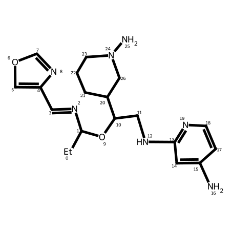 CCC(/N=C/c1cocn1)OC(CNc1cc(N)ccn1)C1CCCN(N)C1